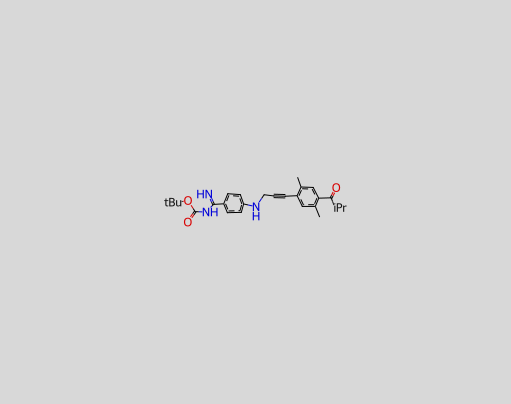 Cc1cc(C(=O)C(C)C)c(C)cc1C#CCNc1ccc(C(=N)NC(=O)OC(C)(C)C)cc1